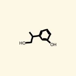 CC(CO)c1cccc(O)c1